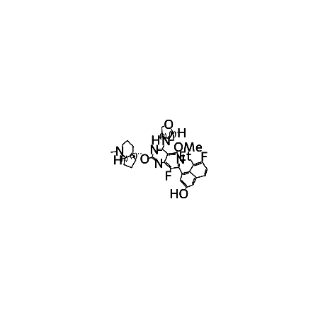 CCc1c(F)ccc2cc(O)cc(-c3nc(OC)c4c(N5C[C@H]6C[C@@H]5CO6)nc(OC[C@]56CCC[C@H]5N(C)CCC6)nc4c3F)c12